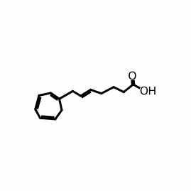 O=C(O)CCCC=CCC1=CC=CC=CC1